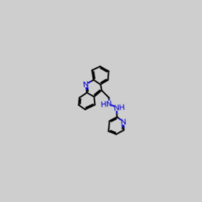 c1ccc(NNCc2c3ccccc3nc3ccccc23)nc1